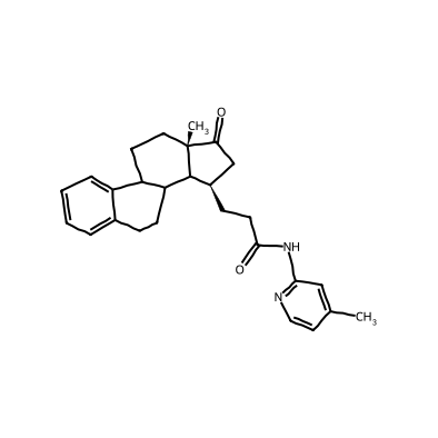 Cc1ccnc(NC(=O)CC[C@@H]2CC(=O)[C@@]3(C)CCC4c5ccccc5CCC4C23)c1